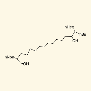 CCCCCCCCCC(CO)CCCCCCCCCCCC(O)C(CCCC)CCCCCC